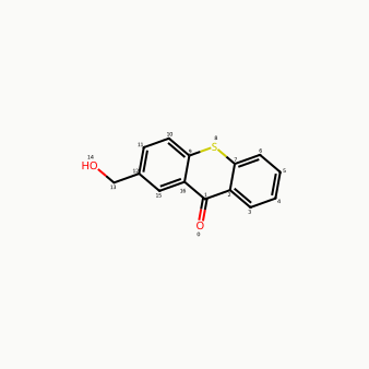 O=c1c2ccccc2sc2ccc(CO)cc12